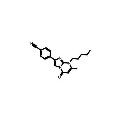 CCCCCn1c(C)cc(=O)n2cc(-c3ccc(C#N)cc3)nc12